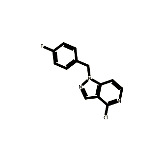 Fc1ccc(Cn2ncc3c(Cl)nccc32)cc1